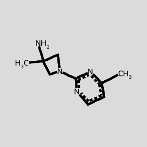 Cc1c[c]nc(N2CC(C)(N)C2)n1